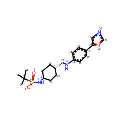 CC(C)(C)S(=O)(=O)N[C@H]1CC[C@H](CNc2ccc(-c3cnco3)cc2)CC1